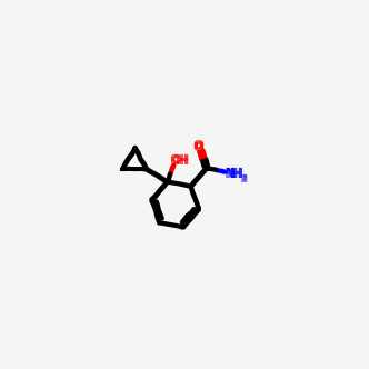 NC(=O)C1C=CC=CC1(O)C1CC1